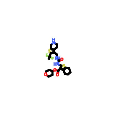 CC(F)(F)c1sc2c(c1CNC(=O)Nc1sc3c(c1C(=O)OC1CCOCC1)CCCC3)CCNC2